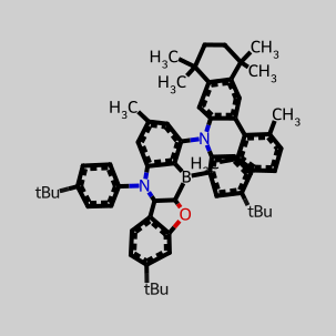 Cc1cc2c3c(c1)N(c1ccc(C(C)(C)C)cc1)C1c4ccc(C(C)(C)C)cc4OC1B3c1cc(C(C)(C)C)ccc1N2c1cc2c(cc1-c1c(C)cccc1C)C(C)(C)CCC2(C)C